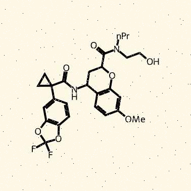 CCCN(CCO)C(=O)C1CC(NC(=O)C2(c3ccc4c(c3)OC(F)(F)O4)CC2)c2ccc(OC)cc2O1